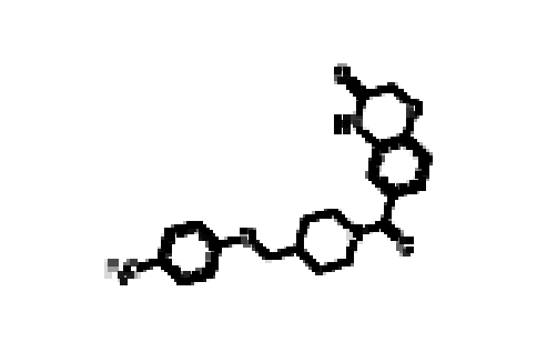 O=C1COc2ccc(C(=O)N3CCC(COc4ccc(C(F)(F)F)cc4)CC3)cc2N1